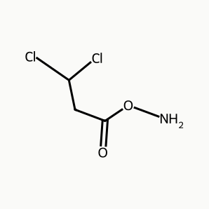 NOC(=O)CC(Cl)Cl